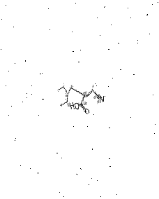 CCC(CC)C/C(=C/C#N)C(=O)O